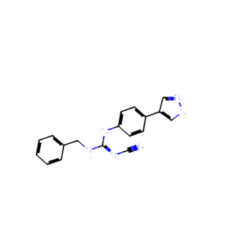 N#C/N=C(/NCc1ccccc1)Nc1ccc(-c2cn[nH]c2)cc1